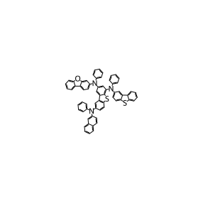 c1ccc(N(c2ccc3ccccc3c2)c2ccc3sc4c(N(c5ccccc5)c5ccc6sc7ccccc7c6c5)cc(N(c5ccccc5)c5ccc6c(c5)oc5ccccc56)cc4c3c2)cc1